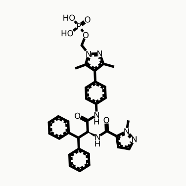 Cc1nn(COP(=O)(O)O)c(C)c1-c1ccc(NC(=O)[C@@H](NC(=O)c2ccnn2C)C(c2ccccc2)c2ccccc2)cc1